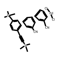 C[Si](C)(C)C#Cc1ccc([Si](C)(C)C)cc1.N#Cc1ccccc1.N#Cc1ccccc1.[Cl][Pd][Cl]